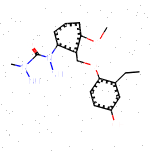 CCc1cc(O)ccc1OCc1c(OC)cccc1N(N)C(=O)N(C)N